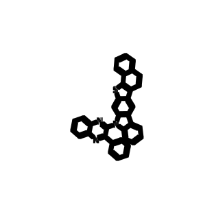 c1ccc(-c2nc3ccccc3nc2-n2c3ccccc3c3cc4c(cc32)sc2c3ccccc3ccc42)cc1